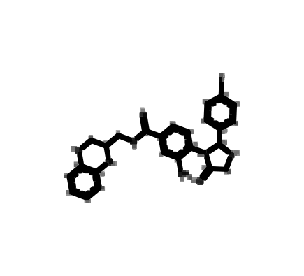 Cc1cc(C(=O)OCC2COc3ccccc3O2)ccc1N1C(=O)CSC1c1ccc(F)cc1